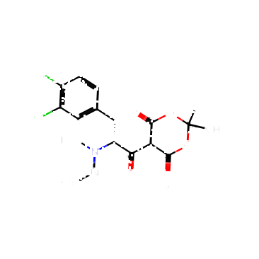 CN(BC=O)[C@H](Cc1ccc(Cl)c(Cl)c1)C(=O)C1C(=O)OC(C)(C)OC1=O